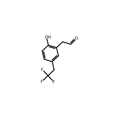 O=CCc1cc(CC(F)(F)F)ccc1O